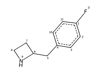 Fc1ccc(CC2CCN2)cc1